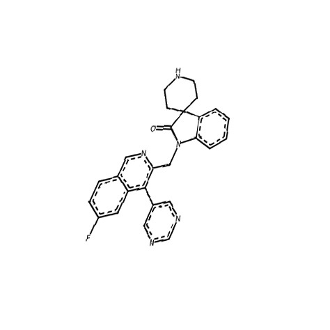 O=C1N(Cc2ncc3ccc(F)cc3c2-c2cncnc2)c2ccccc2C12CCNCC2